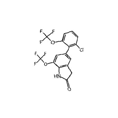 O=C1Cc2cc(-c3c(Cl)cccc3OC(F)(F)F)cc(OC(F)(F)F)c2N1